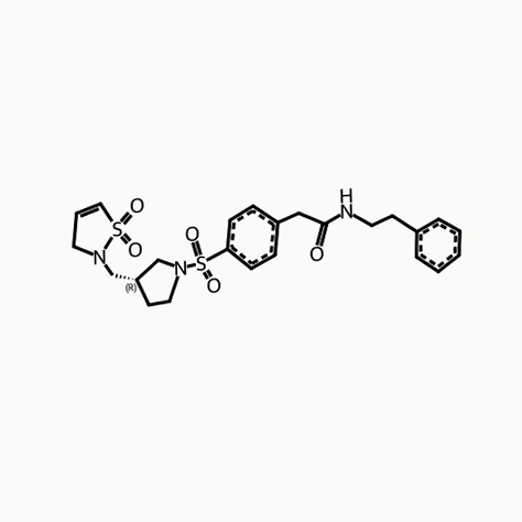 O=C(Cc1ccc(S(=O)(=O)N2CC[C@H](CN3CC=CS3(=O)=O)C2)cc1)NCCc1ccccc1